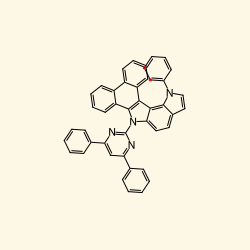 c1ccc(-c2cc(-c3ccccc3)nc(-n3c4ccc5ccn(-c6ccccc6)c5c4c4c5ccccc5c5ccccc5c43)n2)cc1